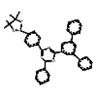 CC1(C)OB(c2ccc(C3=NC(c4ccccc4)NC(c4cc(-c5ccccc5)cc(-c5ccccc5)c4)=N3)cc2)OC1(C)C